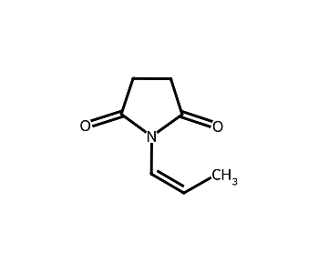 C/C=C\N1C(=O)CCC1=O